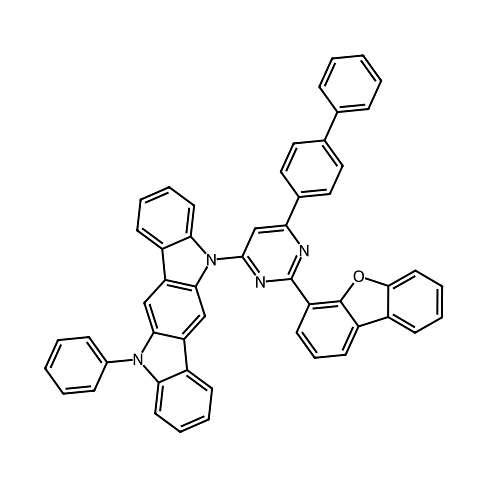 c1ccc(-c2ccc(-c3cc(-n4c5ccccc5c5cc6c(cc54)c4ccccc4n6-c4ccccc4)nc(-c4cccc5c4oc4ccccc45)n3)cc2)cc1